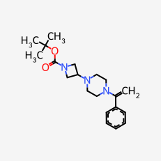 C=C(c1ccccc1)N1CCN(C2CN(C(=O)OC(C)(C)C)C2)CC1